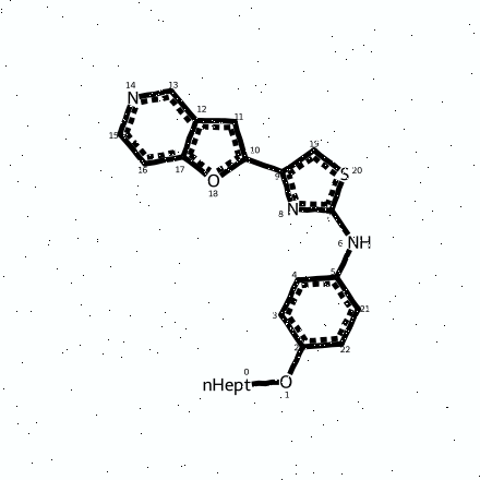 CCCCCCCOc1ccc(Nc2nc(-c3cc4cnccc4o3)cs2)cc1